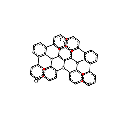 Clc1ccc2c(c1)N(c1c(-c3ccccc3)cccc1-c1ccccc1)c1cc(Cl)cc3c1B2c1ccc(Cl)cc1N3c1c(-c2ccccc2)cccc1-c1ccccc1